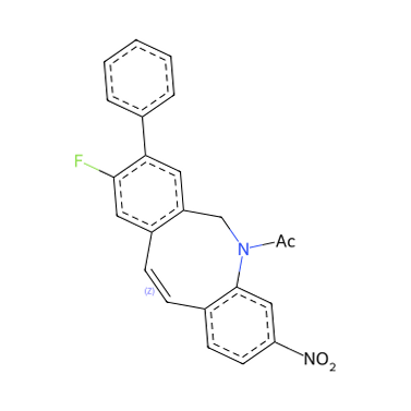 CC(=O)N1Cc2cc(-c3ccccc3)c(F)cc2/C=C\c2ccc([N+](=O)[O-])cc21